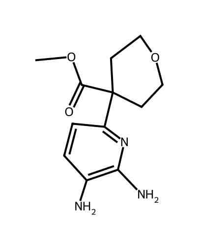 COC(=O)C1(c2ccc(N)c(N)n2)CCOCC1